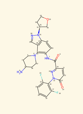 NC1CCN(c2c(NC(=O)c3ccc(=O)n(-c4c(F)cccc4F)n3)ccc3c2cnn3[C@H]2CCOC2)CC1